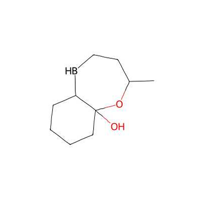 CC1CCBC2CCCCC2(O)O1